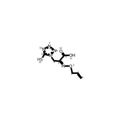 C=CCO/N=C(/Cn1nnnc1S)C(=O)O